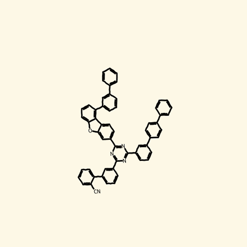 N#Cc1ccccc1-c1cccc(-c2nc(-c3cccc(-c4ccc(-c5ccccc5)cc4)c3)nc(-c3ccc4c(c3)oc3cccc(-c5cccc(-c6ccccc6)c5)c34)n2)c1